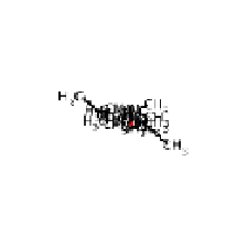 CCCCCCCCON1C(C)(C)CC(C(CCC)Nc2nc(Cl)nc(NC(CCC)C3CC(C)(C)N(OCCCCCCCC)C(C)(C)C3)n2)CC1(C)C